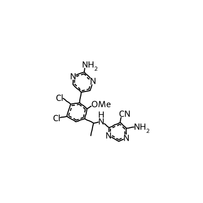 COc1c(C(C)Nc2ncnc(N)c2C#N)cc(Cl)c(Cl)c1-c1cnc(N)nc1